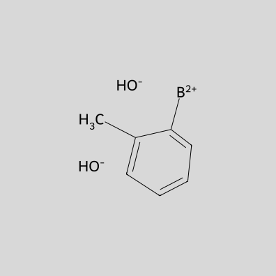 [B+2]c1ccccc1C.[OH-].[OH-]